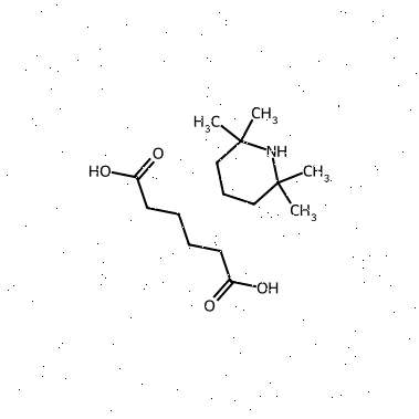 CC1(C)CCCC(C)(C)N1.O=C(O)CCCCC(=O)O